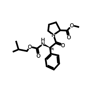 COC(=O)C1CCCN1C(=O)[C@H](NC(=O)OCC(C)C)c1ccccc1